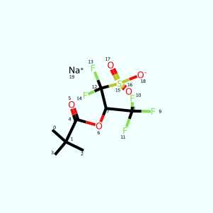 CC(C)(C)C(=O)OC(C(F)(F)F)C(F)(F)S(=O)(=O)[O-].[Na+]